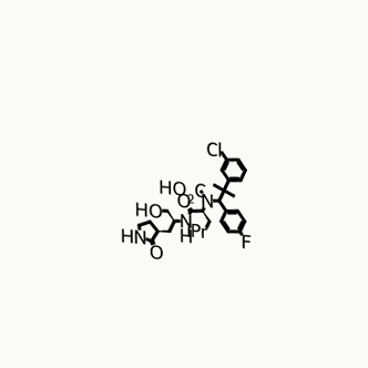 CC(C)C[C@@H](C(=O)N[C@H](CO)C[C@@H]1CCNC1=O)N(C(=O)O)C(c1ccc(F)cc1)C(C)(C)c1cccc(Cl)c1